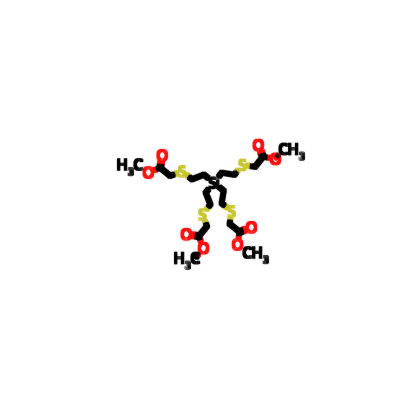 COC(=O)CSCC[Si](CCSCC(=O)OC)(CCSCC(=O)OC)CCSCC(=O)OC